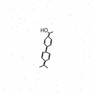 CC(C)=c1ccc(=c2ccc(=C(C)O)cc2)cc1